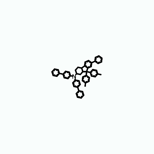 Cc1ccc(C2(c3ccc(C)cc3)c3cc(-c4ccccc4)ccc3C3CCC(N(c4ccc(-c5ccccc5)cc4)c4ccc(-c5ccccc5)cc4)CC32)cc1